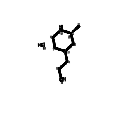 C[C@H]1CN(CCO)CCN1.Cl